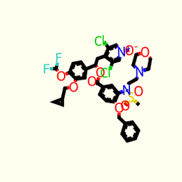 CS(=O)(=O)N(CCN1CCOCC1)c1cc(C(=O)OC(Cc2c(Cl)c[n+]([O-])cc2Cl)c2ccc(OC(F)F)c(OCC3CC3)c2)ccc1OCc1ccccc1